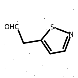 O=CCc1ccns1